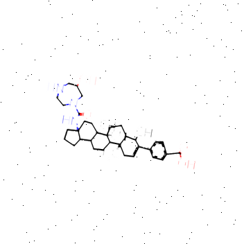 CC1C(c2ccc(C(=O)O)cc2)=CCC2(C)C1CC[C@]1(C)C2CCC2C3CCCC3(NC(=O)N3CCNCC(O)C3)CC[C@]21C